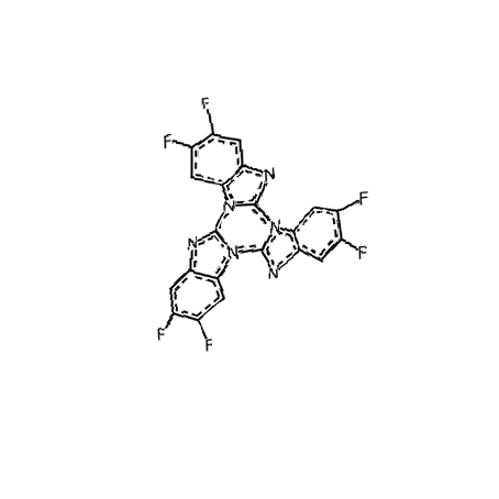 Fc1cc2nc3n(c2cc1F)c1nc2cc(F)c(F)cc2n1c1nc2cc(F)c(F)cc2n31